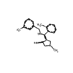 Cc1cccc(CN/C(=C2/CN(C)CC2=N)c2ccccc2C)c1